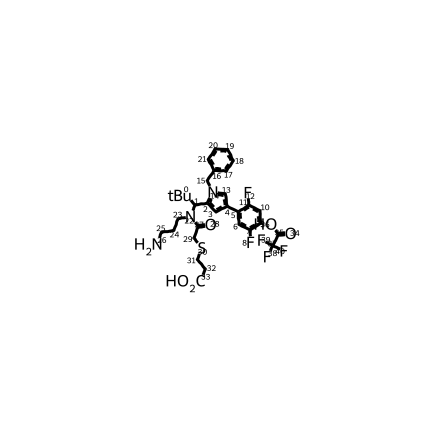 CC(C)(C)C(c1cc(-c2cc(F)ccc2F)cn1Cc1ccccc1)N(CCCN)C(=O)CSCCC(=O)O.O=C(O)C(F)(F)F